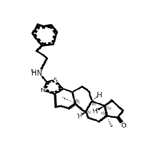 C[C@]12CCc3nc(NCCc4ccccc4)sc3C1CC[C@@H]1[C@@H]2CC[C@]2(C)C(=O)CC[C@@H]12